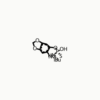 CCC(C)NP(O)(=S)Oc1cc2c(cc1[N+](=O)[O-])OCO2